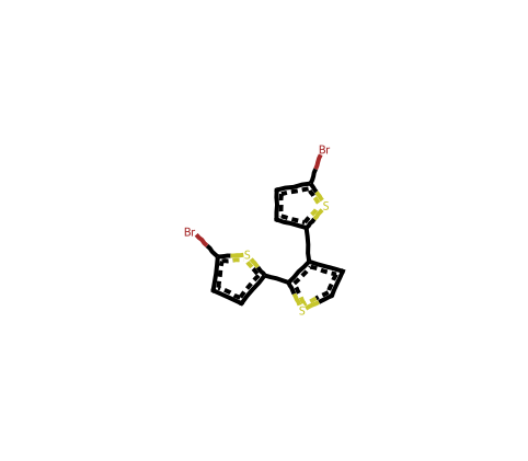 Brc1ccc(-c2ccsc2-c2ccc(Br)s2)s1